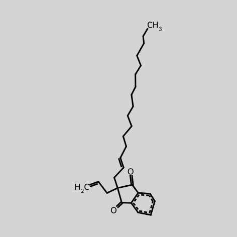 C=CCC1(C/C=C/CCCCCCCCCCCCC)C(=O)c2ccccc2C1=O